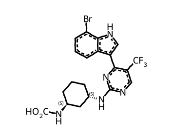 O=C(O)N[C@H]1CCC[C@H](Nc2ncc(C(F)(F)F)c(-c3c[nH]c4c(Br)cccc34)n2)C1